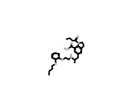 CCCCOc1ccccc1OCCNC(C)Cc1cc2c(c(C(N)=O)c1)N(C(=O)CCC)CC2